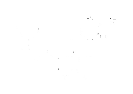 COc1ccc(-c2ccc(C)c(CC(=O)NC(=N)N)c2C)cc1